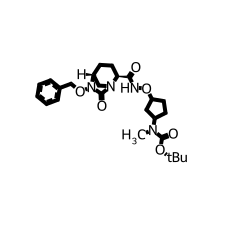 CN(C(=O)OC(C)(C)C)C1CCC(ONC(=O)[C@@H]2CC[C@@H]3CN2C(=O)N3OCc2ccccc2)C1